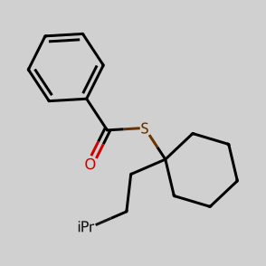 CC(C)CCC1(SC(=O)c2ccccc2)CCCCC1